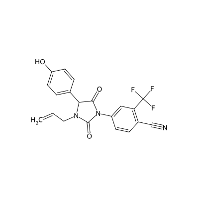 C=CCN1C(=O)N(c2ccc(C#N)c(C(F)(F)F)c2)C(=O)C1c1ccc(O)cc1